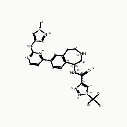 Cn1cc(Nc2nccc(-c3ccc4c(c3)CCNC[C@H]4NC(=O)c3cn(C(C)(C)C)nn3)n2)cn1